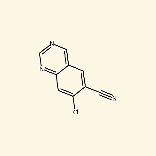 N#Cc1cc2cncnc2cc1Cl